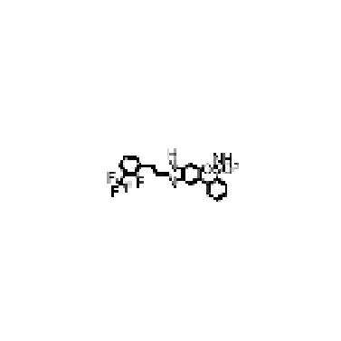 NS(=O)(=O)c1ccccc1-c1ccc2[nH]c(C=Cc3cccc(C(F)(F)F)c3F)nc2c1